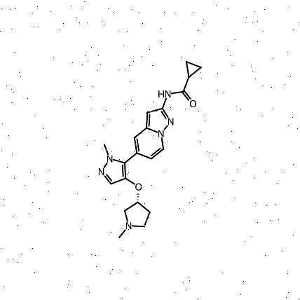 CN1CC[C@@H](Oc2cnn(C)c2-c2ccn3nc(NC(=O)C4CC4)cc3c2)C1